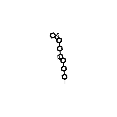 Ic1ccc(-c2ccc(-c3ccc4cc(-c5ccc(-c6ccc7sc8ccccc8c7c6)cc5)cnc4c3)cc2)cc1